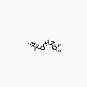 Cc1cc(NC(=O)Cc2cccc(CC(C)(C)NCC(O)c3ccc(O)c(CO)n3)c2)n(C)n1